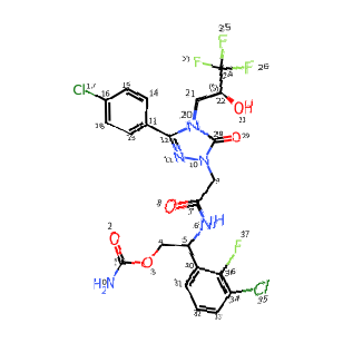 NC(=O)OCC(NC(=O)Cn1nc(-c2ccc(Cl)cc2)n(C[C@H](O)C(F)(F)F)c1=O)c1cccc(Cl)c1F